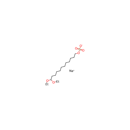 CCOC(CCCCCCCCCCCOS(=O)(=O)[O-])OCC.[Na+]